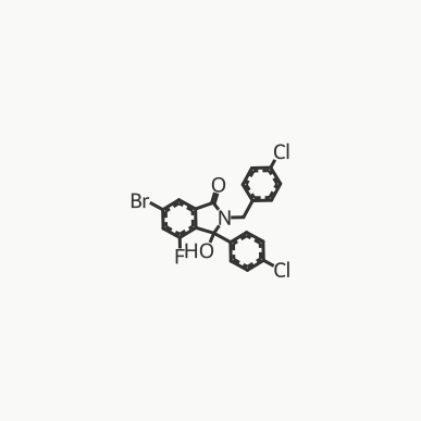 O=C1c2cc(Br)cc(F)c2C(O)(c2ccc(Cl)cc2)N1Cc1ccc(Cl)cc1